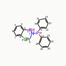 CC(C)N(Pc1ccccc1Cl)P(c1ccccc1)c1ccccc1